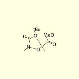 COC(=O)C(C)(C)ON(C)C(=O)OC(C)(C)C